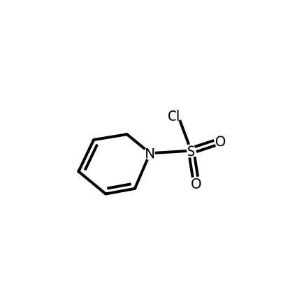 O=S(=O)(Cl)N1C=CC=CC1